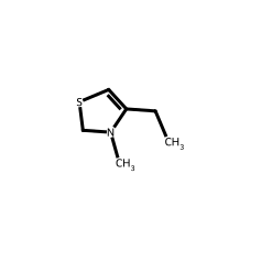 CCC1=CSCN1C